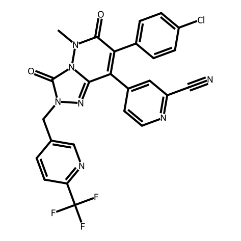 Cn1c(=O)c(-c2ccc(Cl)cc2)c(-c2ccnc(C#N)c2)c2nn(Cc3ccc(C(F)(F)F)nc3)c(=O)n21